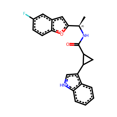 C[C@@H](NC(=O)C1CC1c1c[nH]c2ccccc12)c1cc2cc(F)ccc2o1